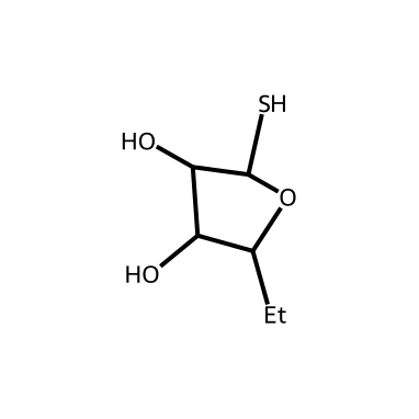 CCC1OC(S)C(O)C1O